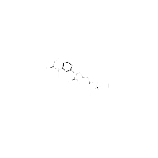 CC(C)(C)OC(=O)CC1CN(c2ccc3c(c2)NC(=O)CS3)C(=O)O1